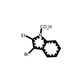 CCc1c(Br)c2ccccc2n1C(=O)O